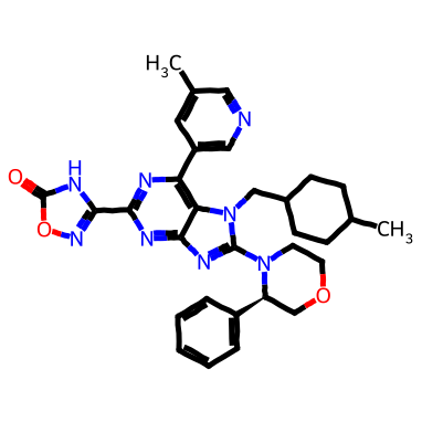 Cc1cncc(-c2nc(-c3noc(=O)[nH]3)nc3nc(N4CCOC[C@H]4c4ccccc4)n(CC4CCC(C)CC4)c23)c1